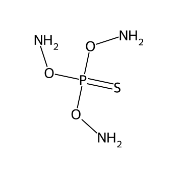 NOP(=S)(ON)ON